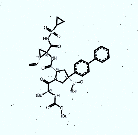 C=C[C@@H]1C[C@]1(NC(=O)[C@@H]1C[C@](c2ccc(-c3ccccc3)cc2)([S+]([O-])CCCC)CN1C(=O)[C@@H](NC(=O)OC(C)(C)C)C(C)(C)C)C(=O)NS(=O)(=O)C1CC1